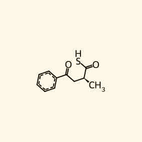 C[C@@H](CC(=O)c1ccccc1)C(=O)S